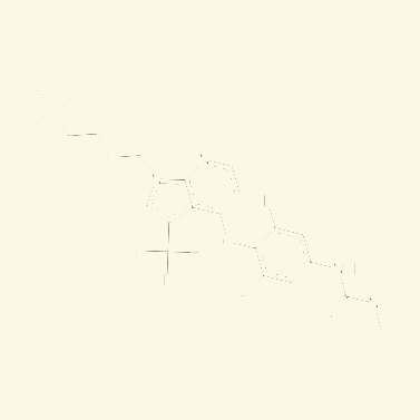 CNC(=O)Nc1cc(F)c(Oc2ccnc3c2c(C(F)(F)F)cn3COCC[Si](C)(C)C)c(F)c1